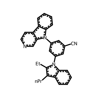 CCCc1c(CC)n(-c2cc(C#N)cc(-n3c4ccccc4c4ccncc43)c2)c2ccccc12